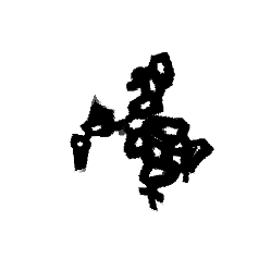 CC(C)(C)c1cc2c(c(C(C)(C)C)c1)C1(c3ccccc3-c3ccccc31)c1cc(N(c3cccc(-c4ccccc4)c3)c3ccc4c(c3)C(C)(C)c3ccccc3-4)ccc1-2